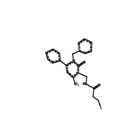 O=C(CCI)NCc1c(C(F)(F)F)cc(-c2ccccc2)n(Cc2ccccc2)c1=O